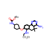 CCOC(=O)CNc1c(OC2CCC(NC(=O)OC(C)(C)C)CC2)ccc2c1CC(C)(C)c1c(N)ncnc1-2